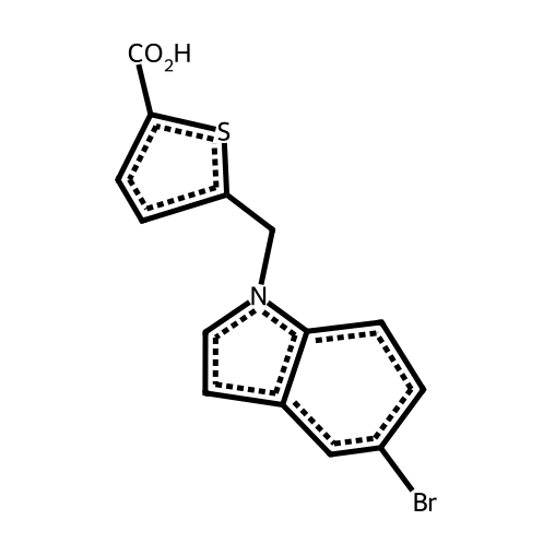 O=C(O)c1ccc(Cn2ccc3cc(Br)ccc32)s1